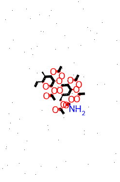 CC[C@@H]1OC(OC(C)=O)[C@@H](O[C@H]2O[C@H](COC(C)=O)[C@@H](OC(N)=O)[C@H](OC(C)=O)[C@@H]2OC(C)=O)[C@@H](OC(C)=O)[C@@H]1C